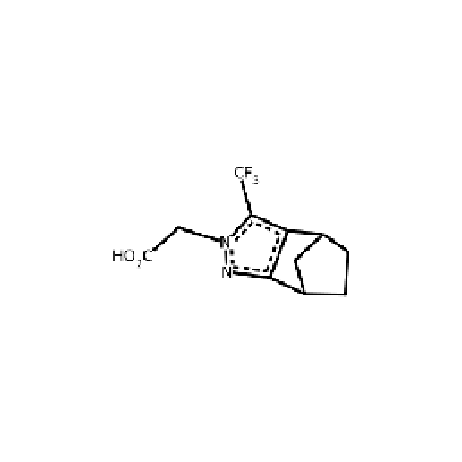 O=C(O)Cn1nc2c(c1C(F)(F)F)C1CCC2C1